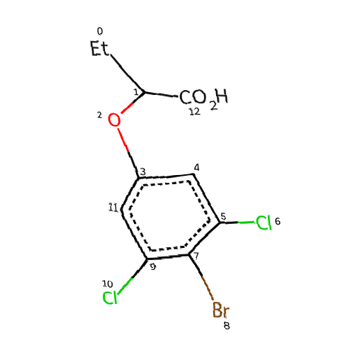 CCC(Oc1cc(Cl)c(Br)c(Cl)c1)C(=O)O